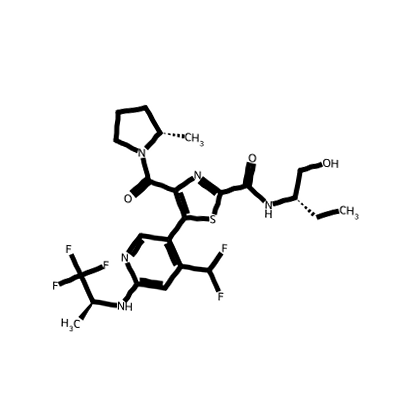 CC[C@@H](CO)NC(=O)c1nc(C(=O)N2CCC[C@@H]2C)c(-c2cnc(N[C@@H](C)C(F)(F)F)cc2C(F)F)s1